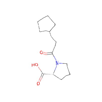 O=C(O)[C@H]1CCCN1C(=O)CC1CCCC1